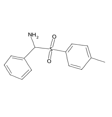 Cc1ccc(S(=O)(=O)C(N)c2ccccc2)cc1